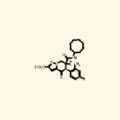 CCOC(=O)c1cc2n(n1)CC(C)(C(=O)NC1CCCCCCC1)N(c1ccc(F)cc1C)C2=O